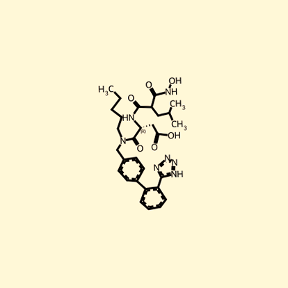 CCCCCN(Cc1ccc(-c2ccccc2-c2nnn[nH]2)cc1)C(=O)[C@@H](CC(=O)O)NC(=O)C(CC(C)C)C(=O)NO